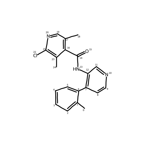 Cc1ccccc1-c1ccncc1NC(=O)c1c(C)cnc(Cl)c1C